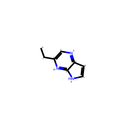 CCc1cnc2cc[nH]c2n1